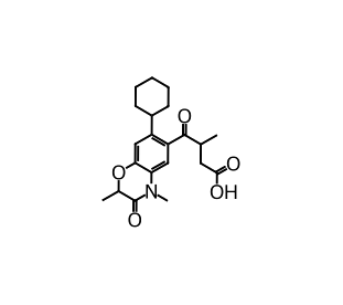 CC(CC(=O)O)C(=O)c1cc2c(cc1C1CCCCC1)OC(C)C(=O)N2C